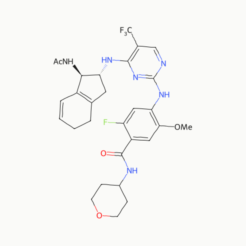 COc1cc(C(=O)NC2CCOCC2)c(F)cc1Nc1ncc(C(F)(F)F)c(N[C@@H]2CC3=C(C=CCC3)[C@H]2NC(C)=O)n1